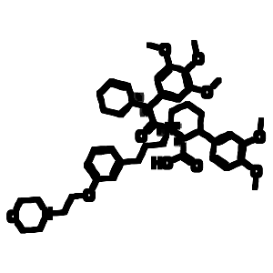 COc1ccc(C2CCC[N@@+](CCCc3cccc(OCCN4CCOCC4)c3)(C(=O)[C@H](c3cc(OC)c(OC)c(OC)c3)[C@@H]3C=CCCC3)[C@H]2C(=O)O)cc1OC